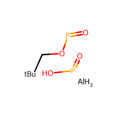 CC(C)(C)COP=O.O=PO.[AlH3]